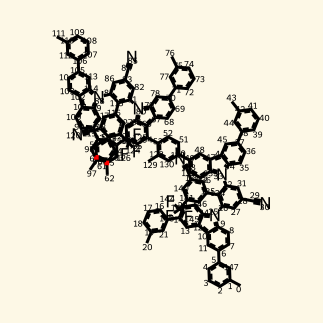 Cc1cccc(-c2ccc3c(c2)c2cc(-c4cccc(C)c4)ccc2n3-c2cc(C#N)cc(-n3c4ccc(-c5cccc(C)c5)cc4c4cc(-c5ccc(-c6cc(-c7cccc(C)c7)cc7c6c6ccc(-c8cccc(C)c8)cc6n7-c6cc(C#N)cc(-n7c8cc(-c9cccc(C)c9)ccc8c8ccc(-c9cccc(C)c9)cc87)c6-c6cc(C#N)cc(C(F)(F)F)c6)c(C)c5)ccc43)c2-c2cc(C#N)cc(C(F)(F)F)c2)c1